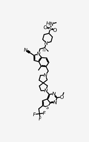 CNS(=O)(=O)C1CCN([C@@H](C)Cn2c(C#N)cc3c(C)c(CN4CCC5(CCN(c6nc(OC)nc7sc(CC(F)(F)F)cc67)C5)C4)ccc32)CC1